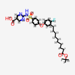 CC(C)(C)OC(=O)CCCCCCCCCc1cc(Oc2ccc(S(=O)(=O)Nc3ncc(C(=O)O)cn3)cc2)ccc1F